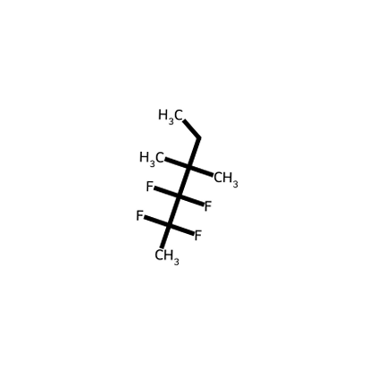 CCC(C)(C)C(F)(F)C(C)(F)F